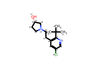 CC(C)(C)c1ncc(Cl)cc1CCN1CC[C@H](O)C1